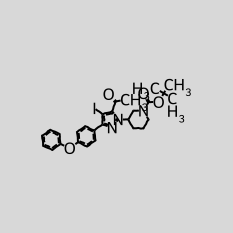 CC(=O)c1c(I)c(-c2ccc(Oc3ccccc3)cc2)nn1C1CCCN(C(=O)OC(C)(C)C)C1